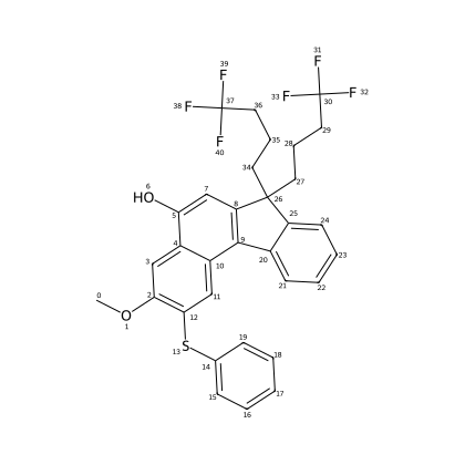 COc1cc2c(O)cc3c(c2cc1Sc1ccccc1)-c1ccccc1C3(CCCC(F)(F)F)CCCC(F)(F)F